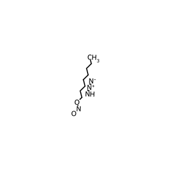 CCCCCCCCON=O.[N-]=[N+]=N